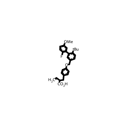 C=CC(Cc1ccc(OCc2ccc(C(C)(C)C)c(-c3cc(OC)ccc3F)c2)cc1)C(=O)O